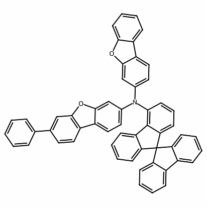 c1ccc(-c2ccc3c(c2)oc2cc(N(c4ccc5c(c4)oc4ccccc45)c4cccc5c4-c4ccccc4C54c5ccccc5-c5ccccc54)ccc23)cc1